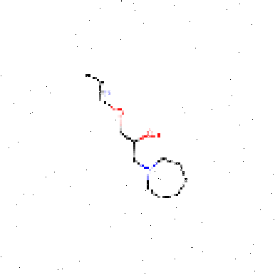 C/C=C/OCC(O)CN1CCCCCC1